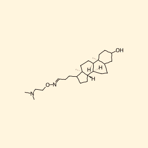 CN(C)CCO/N=C/CCC1CC[C@H]2[C@@H]3CCC4CC(O)CC[C@]4(C)[C@@H]3CC[C@]12C